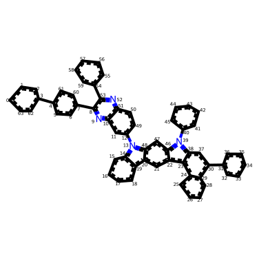 c1ccc(-c2ccc(-c3nc4cc(-n5c6ccccc6c6cc7c8c9ccccc9c(-c9ccccc9)cc8n(-c8ccccc8)c7cc65)ccc4nc3-c3ccccc3)cc2)cc1